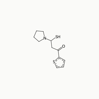 O=C(CC(S)N1CCCC1)c1cccs1